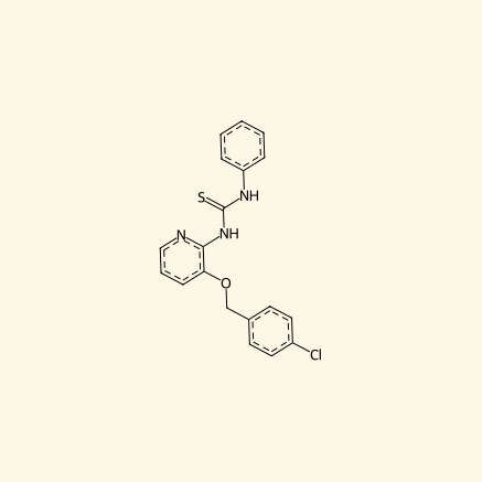 S=C(Nc1ccccc1)Nc1ncccc1OCc1ccc(Cl)cc1